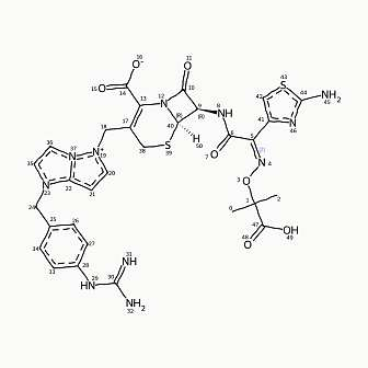 CC(C)(O/N=C(\C(=O)N[C@@H]1C(=O)N2C(C(=O)[O-])=C(C[n+]3ccc4n(Cc5ccc(NC(=N)N)cc5)ccn43)CS[C@H]12)c1csc(N)n1)C(=O)O